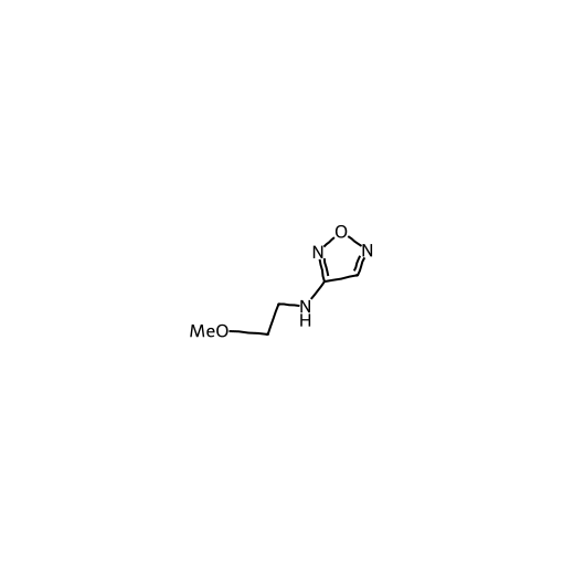 COCCNc1cnon1